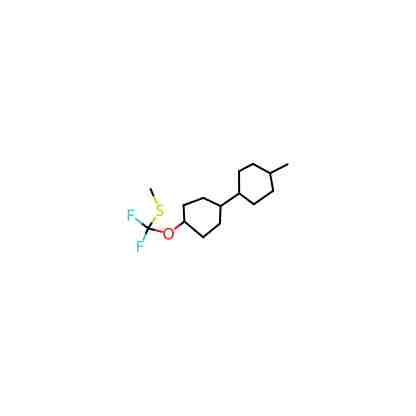 CSC(F)(F)OC1CCC(C2CCC(C)CC2)CC1